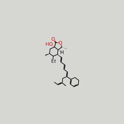 C/C=C(/C)C\C(=C/C=C/C=C/[C@H]1C(CC)[C@@H](C)C[C@@]2(O)C(=O)O[C@H](C)[C@@H]12)C1=CC=CCC1